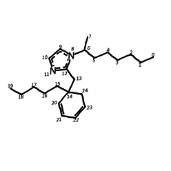 CCCCCCC(C)n1ccnc1CC1(CCCCC)C=CC=CC1